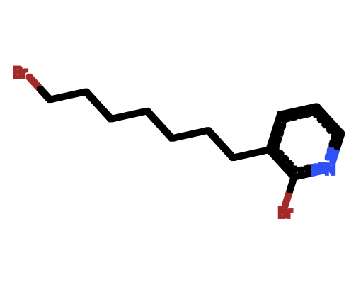 BrCCCCCCCc1cccnc1Br